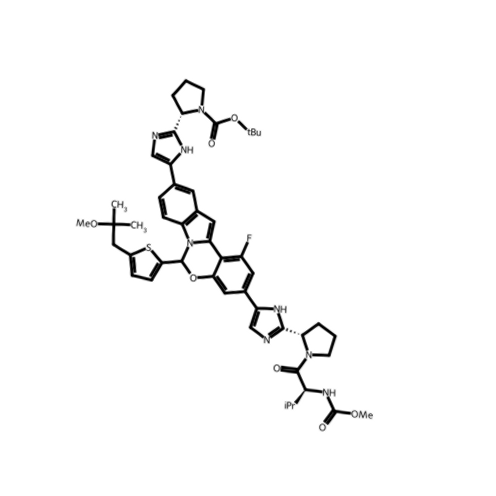 COC(=O)N[C@H](C(=O)N1CCC[C@H]1c1ncc(-c2cc(F)c3c(c2)OC(c2ccc(CC(C)(C)OC)s2)n2c-3cc3cc(-c4cnc([C@@H]5CCCN5C(=O)OC(C)(C)C)[nH]4)ccc32)[nH]1)C(C)C